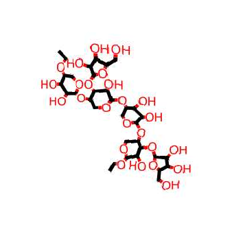 CCOC1COC(OC2COC(OC3COC(OC4COC(OCC)C(O)C4OC4OC(CO)C(O)C4O)C(O)C3O)C(O)C2OC2OC(CO)C(O)C2O)C(O)C1O